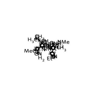 CCn1cnc2cc(-c3cc(N(C)CCNC)c(C(N)=O)c4[nH]cnc34)ccc21.COc1ccc(-c2cc(N(C)CCN(C)C)c(C(N)=O)c3[nH]cnc23)cc1C(N)=O